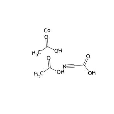 CC(=O)O.CC(=O)O.N#CC(=O)O.[Co]